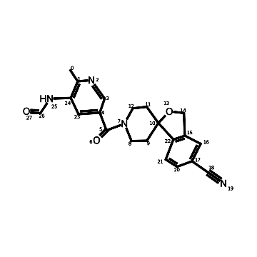 Cc1ncc(C(=O)N2CCC3(CC2)OCc2cc(C#N)ccc23)cc1NC=O